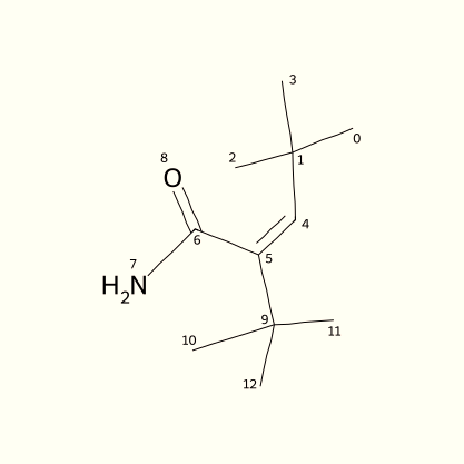 CC(C)(C)/C=C(\C(N)=O)C(C)(C)C